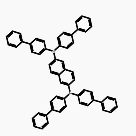 c1ccc(-c2ccc(N(c3ccc(-c4ccccc4)cc3)c3ccc4cc(N(c5ccc(-c6ccccc6)cc5)c5ccc(-c6ccccc6)cc5)ccc4c3)cc2)cc1